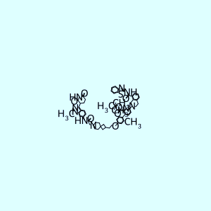 Cc1cc(OCCC2CC3(CCN(CC(=O)Nc4ccc5c(C6CCC(=O)NC6=O)nn(C)c5c4)CC3)C2)ccc1-c1ccc(N2CCc3cccc(C(=O)Nc4nc5ccccc5s4)c3C2)nc1C(=O)OC(C)(C)C